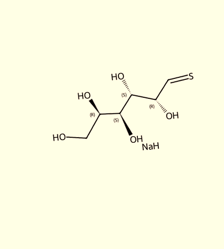 OC[C@@H](O)[C@H](O)[C@H](O)[C@@H](O)C=S.[NaH]